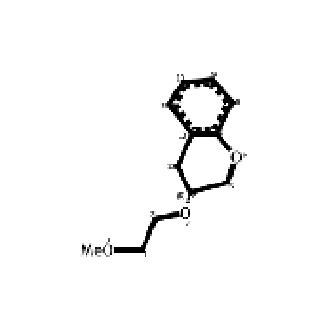 COCCO[C@H]1COc2ccccc2C1